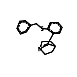 C1=C(c2ccccc2SCc2ccccc2)C2CCN1CC2